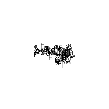 CCC(C)C(NC(=O)C(CC(C)C)NC(=O)c1cnccn1)C(=O)NC(CC1CCCCC1)C(=O)NC(CC(F)F)C(=O)C(=O)NCC(=O)NS(=O)(=O)c1nnc(NC(=O)c2cc(F)cc(F)c2)s1